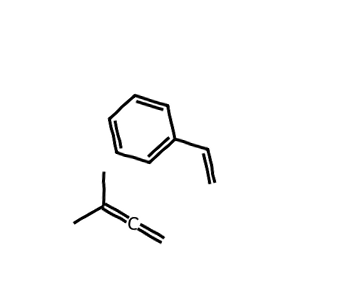 C=C=C(C)C.C=Cc1ccccc1